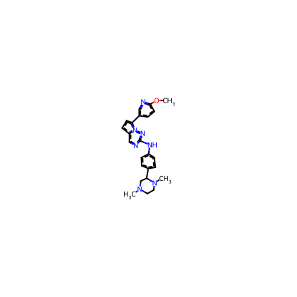 COc1ccc(-c2ccc3cnc(Nc4ccc(C5CN(C)CCN5C)cc4)nn23)cn1